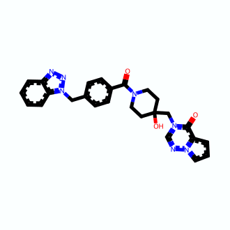 O=C(c1ccc(Cn2nnc3ccccc32)cc1)N1CCC(O)(Cn2cnn3cccc3c2=O)CC1